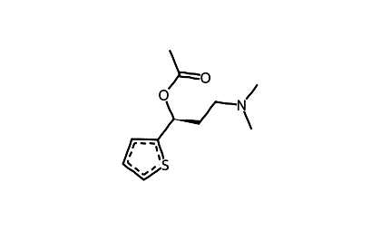 CC(=O)O[C@@H](CCN(C)C)c1cccs1